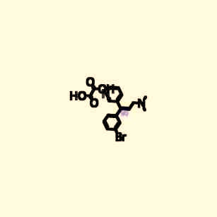 CN(C)C/C=C(\c1cccnc1)c1cccc(Br)c1.O=C(O)C(=O)O